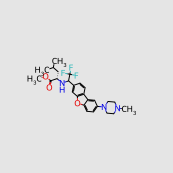 COC(=O)[C@H](CC(C)C)NC(c1ccc2c(c1)oc1ccc(N3CCN(C)CC3)cc12)C(F)(F)F